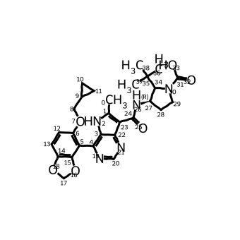 Cc1[nH]c2c(-c3c(OCC4CC4)ccc4c3OCO4)ncnc2c1C(=O)N[C@@H]1CCN(C(=O)O)C1C(C)(C)C